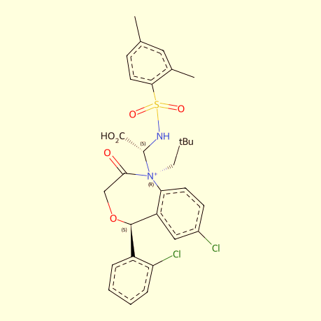 Cc1ccc(S(=O)(=O)N[C@@H](C(=O)O)[N@+]2(CC(C)(C)C)C(=O)CO[C@H](c3ccccc3Cl)c3cc(Cl)ccc32)c(C)c1